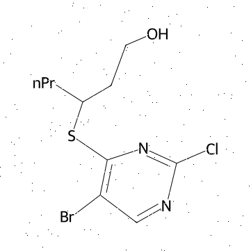 CCCC(CCO)Sc1nc(Cl)ncc1Br